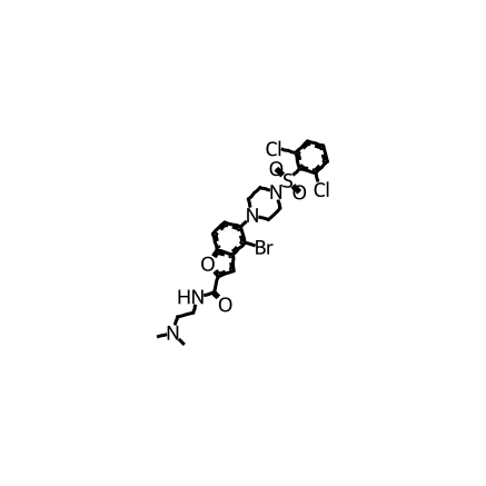 CN(C)CCNC(=O)c1cc2c(Br)c(N3CCN(S(=O)(=O)c4c(Cl)cccc4Cl)CC3)ccc2o1